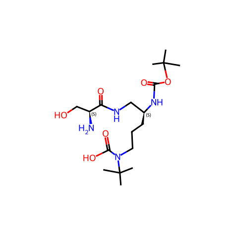 CC(C)(C)OC(=O)N[C@@H](CCCN(C(=O)O)C(C)(C)C)CNC(=O)[C@@H](N)CO